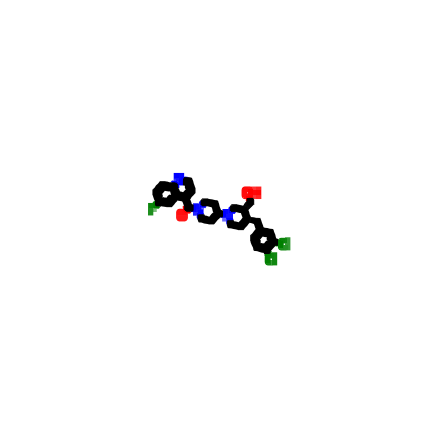 O=C(c1ccnc2ccc(F)cc12)N1CCC(N2CC[C@H](Cc3ccc(Cl)c(Cl)c3)[C@H](CO)C2)CC1